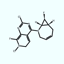 FC1=c2nc(Cl)nc(N3CC=CC[C@H]4[C@H](F)[C@H]43)c2=CCN1Cl